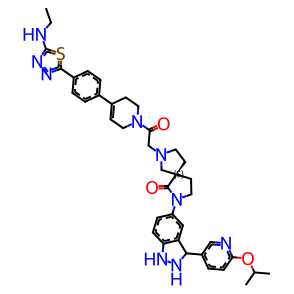 CCNc1nnc(-c2ccc(C3=CCN(C(=O)CN4CC[C@]5(CCN(c6ccc7c(c6)C(c6ccc(OC(C)C)nc6)NN7)C5=O)C4)CC3)cc2)s1